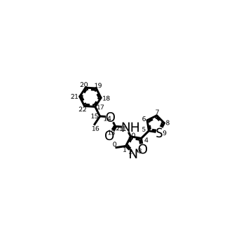 Cc1noc(-c2cccs2)c1NC(=O)OC(C)c1ccccc1